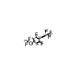 CC(F)(F)Oc1cc(F)c(C#CC(F)(F)F)c(F)c1